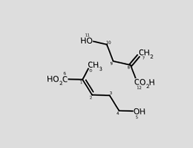 C/C(=C\CCO)C(=O)O.C=C(CCO)C(=O)O